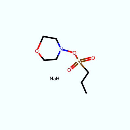 CCCS(=O)(=O)ON1CCOCC1.[NaH]